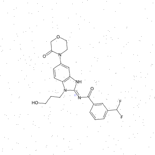 O=C(/N=c1\[nH]c2cc(N3CCOCC3=O)ccc2n1CCCO)c1cccc(C(F)F)c1